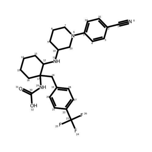 N#Cc1ccc(N2CCCC(NC3CCCCC3(Cc3ccc(C(F)(F)F)cc3)NC(=O)O)C2)cc1